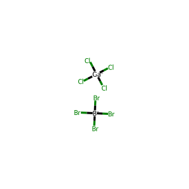 Br[B-](Br)(Br)Br.[Cl][Ga-]([Cl])([Cl])[Cl]